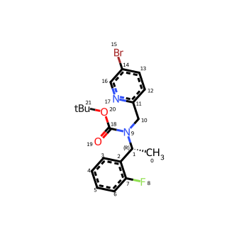 C[C@H](c1ccccc1F)N(Cc1ccc(Br)cn1)C(=O)OC(C)(C)C